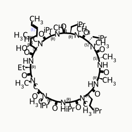 C/C=C/C[C@@H](C)[C@@H](O)[C@H]1C(=O)N[C@H](CC)C(=O)N(C)CC(=O)N(C)[C@H](C(C)C)C(=O)N[C@H](C(C)C)C(=O)N(C)[C@H](CCC(C)C)C(=O)N[C@H](C)C(=O)N[C@@H](C)C(=O)N(C)[C@@H](CC(C)C)C(=O)N(C)[C@H](CC(C)C)C(=O)N(C)[C@H](C(C)C)C(=O)N1C